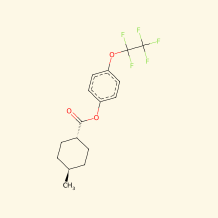 C[C@H]1CC[C@H](C(=O)Oc2ccc(OC(F)(F)C(F)(F)F)cc2)CC1